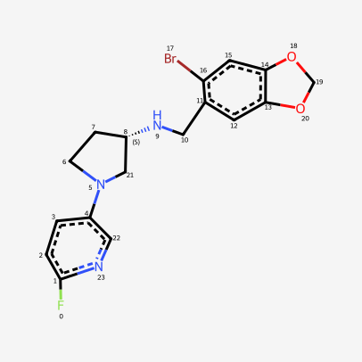 Fc1ccc(N2CC[C@H](NCc3cc4c(cc3Br)OCO4)C2)cn1